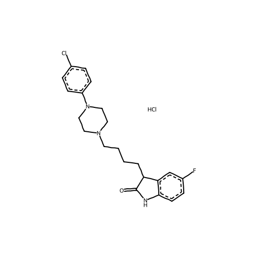 Cl.O=C1Nc2ccc(F)cc2C1CCCCN1CCN(c2ccc(Cl)cc2)CC1